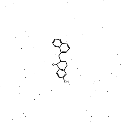 O=C1c2ccc(O)cc2CCC1Cc1cccc2ccccc12